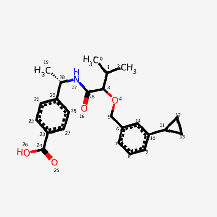 CC(C)C(OCc1cccc(C2CC2)c1)C(=O)N[C@@H](C)c1ccc(C(=O)O)cc1